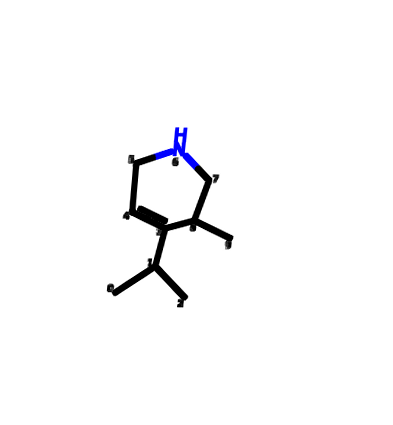 CC(C)C1=CCNCC1C